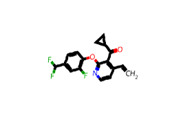 C=Cc1ccnc(Oc2ccc(C(F)F)cc2F)c1C(=O)C1CC1